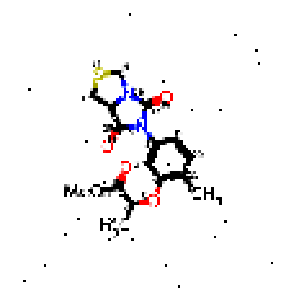 COC(=O)C(C)Oc1cc(N2C(=O)C3CSCN3C2=O)ccc1C